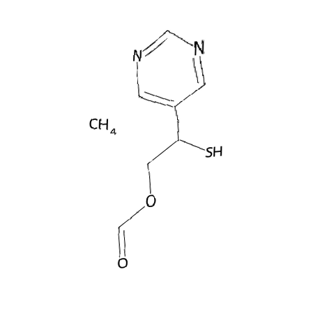 C.O=COCC(S)c1cncnc1